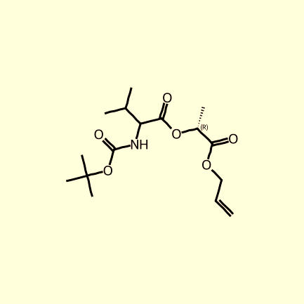 C=CCOC(=O)[C@@H](C)OC(=O)C(NC(=O)OC(C)(C)C)C(C)C